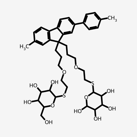 Cc1ccc(-c2ccc3c(c2)C(CCCOCCSC2OC(O)C(O)C(O)C2O)(CCCOCCSC2OC(CO)C(O)C(O)C2O)c2cc(C)ccc2-3)cc1